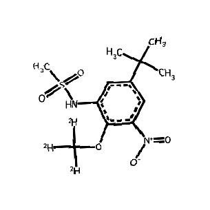 [2H]C([2H])([2H])Oc1c(NS(C)(=O)=O)cc(C(C)(C)C)cc1[N+](=O)[O-]